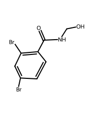 O=C(NCO)c1ccc(Br)cc1Br